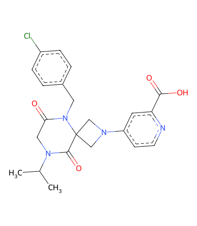 CC(C)N1CC(=O)N(Cc2ccc(Cl)cc2)C2(CN(c3ccnc(C(=O)O)c3)C2)C1=O